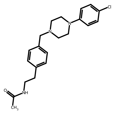 CC(=O)NCCc1ccc(CN2CCN(c3ccc(Cl)cc3)CC2)cc1